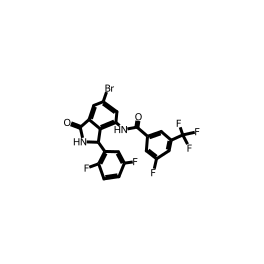 O=C(Nc1cc(Br)cc2c1C(c1cc(F)ccc1F)NC2=O)c1cc(F)cc(C(F)(F)F)c1